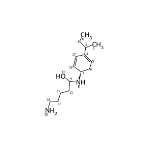 CCC(C)C1=CC[C@@H](NC(O)CCCCN)C=C1